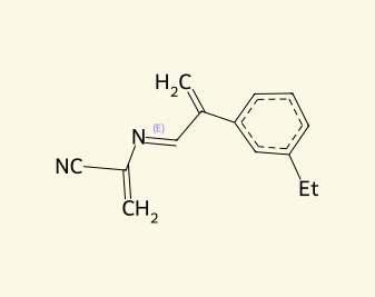 C=C(C#N)/N=C/C(=C)c1cccc(CC)c1